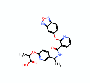 CC(Oc1ccc(C(C)NC(=O)c2cccnc2Oc2ccc3nonc3c2)cn1)C(=O)O